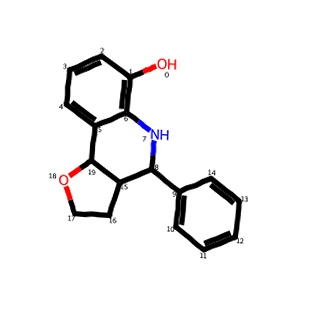 Oc1cccc2c1NC(c1ccccc1)C1CCOC21